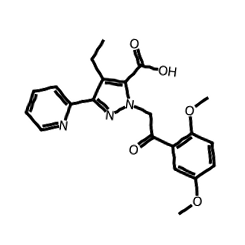 CCc1c(-c2ccccn2)nn(CC(=O)c2cc(OC)ccc2OC)c1C(=O)O